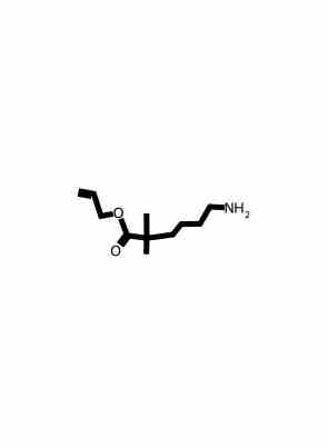 C=CCOC(=O)C(C)(C)CCCCN